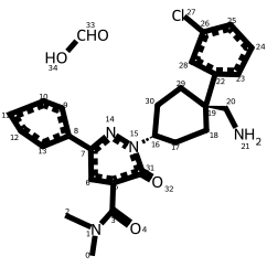 CN(C)C(=O)c1cc(-c2ccccc2)nn([C@H]2CC[C@@](CN)(c3cccc(Cl)c3)CC2)c1=O.O=CO